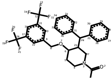 CC(=O)N1CCC(OCc2cc(C(F)(F)F)cc(C(F)(F)F)c2)C(C(c2ccccc2)c2ccccc2)C1